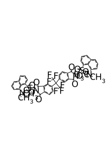 CN(C)c1cccc2cccc(S(=O)(=O)ON3C(=O)c4ccc(C(c5ccc6c(c5)C(=O)N(OS(=O)(=O)c5cccc7cccc(N(C)C)c57)C6=O)(C(F)(F)F)C(F)(F)F)cc4C3=O)c12